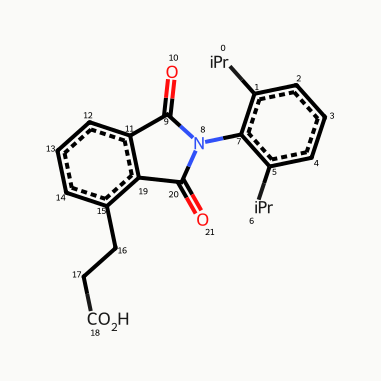 CC(C)c1cccc(C(C)C)c1N1C(=O)c2cccc(CCC(=O)O)c2C1=O